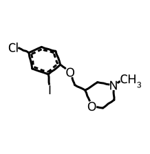 CN1CCOC(COc2ccc(Cl)cc2I)C1